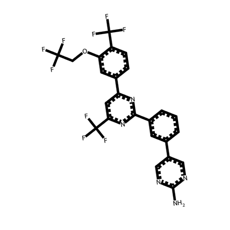 Nc1ncc(-c2cccc(-c3nc(-c4ccc(C(F)(F)F)c(OCC(F)(F)F)c4)cc(C(F)(F)F)n3)c2)cn1